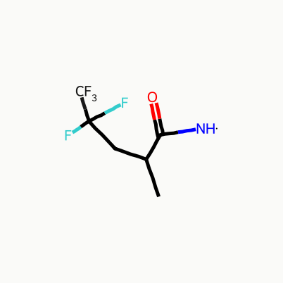 CC(CC(F)(F)C(F)(F)F)C([NH])=O